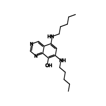 CCCCCNc1cc(NCCCCC)c2cncnc2c1O